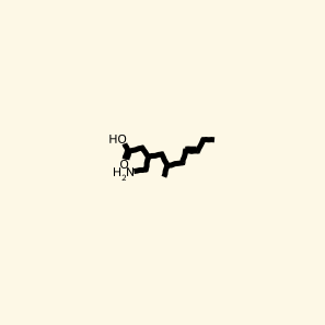 CC/C=C/CC(C)CC(CN)CC(=O)O